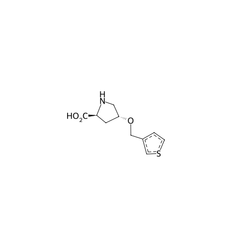 O=C(O)[C@@H]1C[C@@H](OCc2ccsc2)CN1